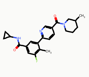 Cc1c(F)cc(C(=O)NC2CC2)cc1-c1ccc(C(=O)N2CCCC(C)C2)cn1